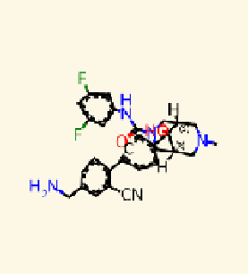 CN1C[C@@H]2CN(C(=O)Nc3cc(F)cc(F)c3)C[C@H](C1)C2(O)c1ccc(-c2ccc(CN)cc2C#N)cc1